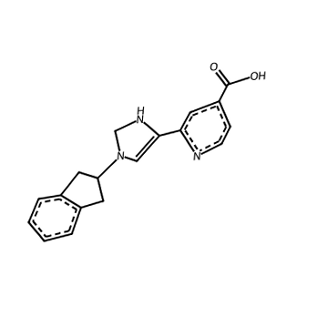 O=C(O)c1ccnc(C2=CN(C3Cc4ccccc4C3)CN2)c1